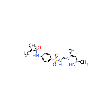 C=C(C)C(=O)Nc1ccc(S(=O)(=O)N/C=N/C(C)=C\C(C)=N)cc1